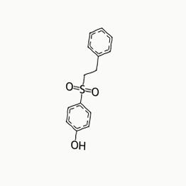 O=S(=O)(CCc1ccccc1)c1ccc(O)cc1